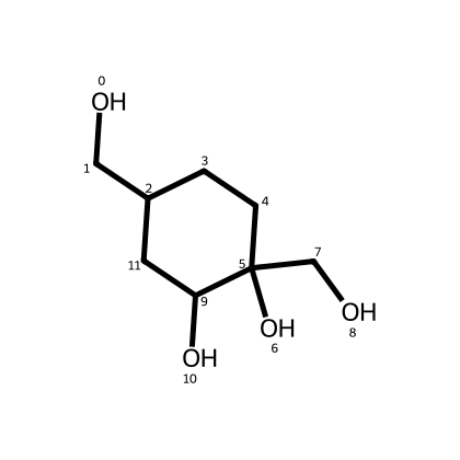 OCC1CCC(O)(CO)C(O)C1